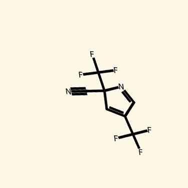 N#CC1(C(F)(F)F)C=C(C(F)(F)F)C=N1